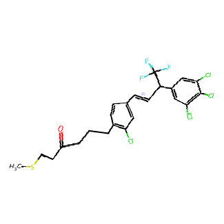 CSCCC(=O)CCCc1ccc(/C=C/C(c2cc(Cl)c(Cl)c(Cl)c2)C(F)(F)F)cc1Cl